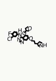 Fc1ccc(Nc2ncnc3cc(OCCCC4CCNC4)cc(OC4CCOC4)c23)cc1Cl